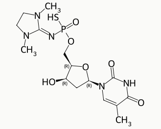 Cc1cn([C@H]2C[C@@H](O)[C@@H](COP(=O)(S)N=C3N(C)CCN3C)O2)c(=O)[nH]c1=O